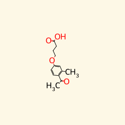 CC(=O)c1ccc(OCCCC(=O)O)cc1C